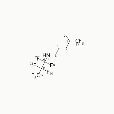 CC(CCCNC(F)(F)C(F)(F)C(F)(F)F)C(F)(F)F